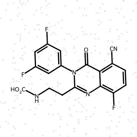 N#Cc1ccc(F)c2nc(CCNC(=O)O)n(-c3cc(F)cc(F)c3)c(=O)c12